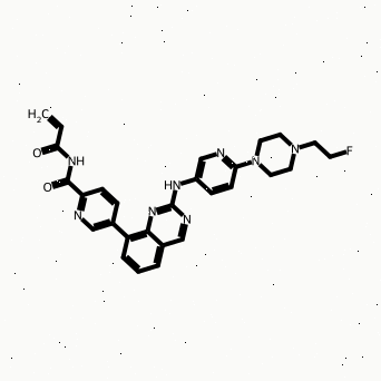 C=CC(=O)NC(=O)c1ccc(-c2cccc3cnc(Nc4ccc(N5CCN(CCF)CC5)nc4)nc23)cn1